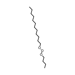 CCCCCCCCCCCCOOOCCCC